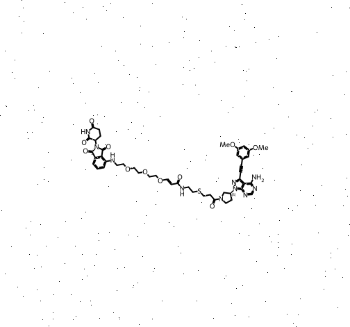 COc1cc(C#Cc2nn([C@H]3CCN(C(=O)CCSCCNC(=O)C=COCCOCCOCCNc4cccc5c4C(=O)N(C4CCC(=O)NC4=O)C5=O)C3)c3ncnc(N)c23)cc(OC)c1